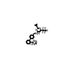 FC(F)(F)C(F)(F)c1cc(NCc2ccc(-c3ccccc3-c3nnn[nH]3)cc2)nc(C2CC2)n1